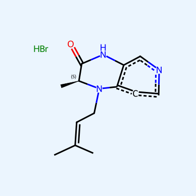 Br.CC(C)=CCN1c2ccncc2NC(=O)[C@@H]1C